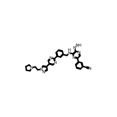 N#Cc1cccc(-c2cnc(N=N)c(NCc3cccc(-c4ncc(-c5cnn(CCN6CCCC6)c5)cn4)c3)n2)c1